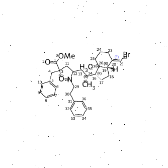 COC(=O)C1(Cc2ccccc2)CC(C[C@@H](C)[C@H]2CC[C@H]3/C(=C/Br)CCC[C@]23C)N(CCc2ccccc2)O1